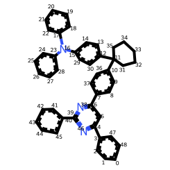 c1ccc(-c2cc(-c3ccc(C4(c5ccc(N(c6ccccc6)c6ccccc6)cc5)CCCCC4)cc3)nc(-c3ccccc3)n2)cc1